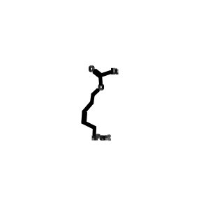 CCCCCC/C=C\CCOC(=O)CC